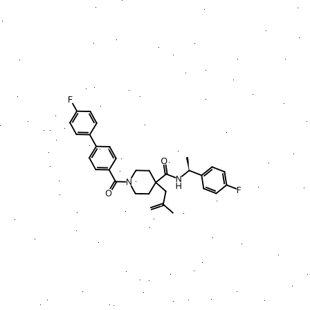 C=C(C)CC1(C(=O)N[C@@H](C)c2ccc(F)cc2)CCN(C(=O)c2ccc(-c3ccc(F)cc3)cc2)CC1